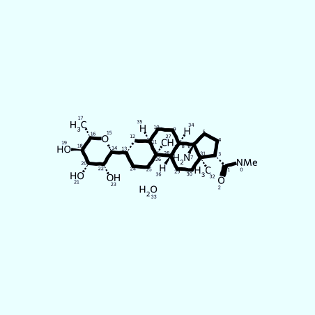 CNC(=O)[C@H]1CC[C@@]2(N)[C@@H]3CC[C@@H]4C[C@@H]([C@H]5O[C@@H](C)[C@H](O)[C@@H](O)[C@H]5O)CC[C@]4(C)[C@H]3CC[C@]12C.O